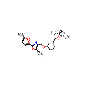 Cc1ccc(-c2nc(CO[C@H]3CCCC(COC(C)(C)C(=O)O)C3)c(C)o2)o1